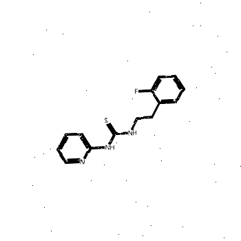 Fc1ccccc1CCNC(=S)Nc1ccccn1